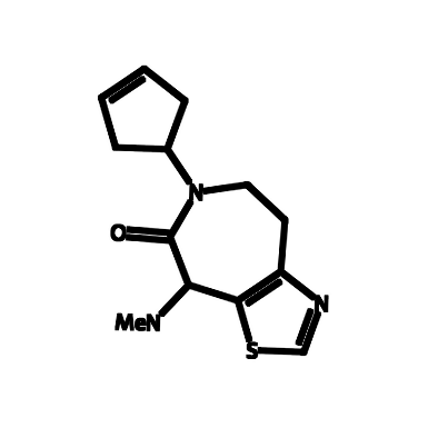 CNC1C(=O)N(C2CC=CC2)CCc2ncsc21